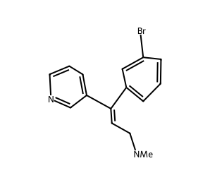 CNCC=C(c1cccnc1)c1cccc(Br)c1